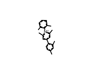 Cc1ccc(-c2cc(C)[n+](-c3c(C)cccc3C)c(C)c2)c(C)c1